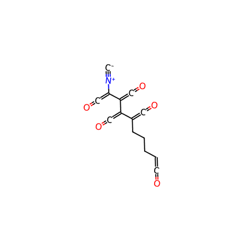 [C-]#[N+]C(=C=O)C(=C=O)C(=C=O)C(=C=O)CCCC=C=O